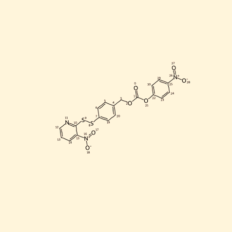 O=C(OCc1ccc(SSc2ncccc2[N+](=O)[O-])cc1)Oc1ccc([N+](=O)[O-])cc1